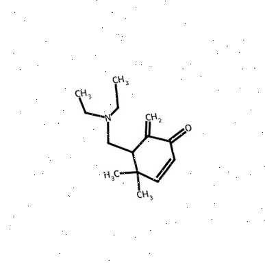 C=C1C(=O)C=CC(C)(C)C1CN(CC)CC